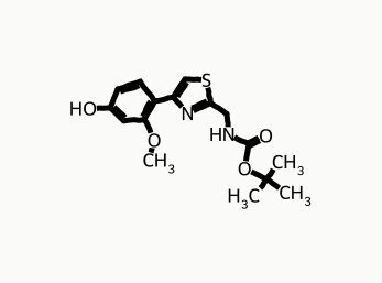 COc1cc(O)ccc1-c1csc(CNC(=O)OC(C)(C)C)n1